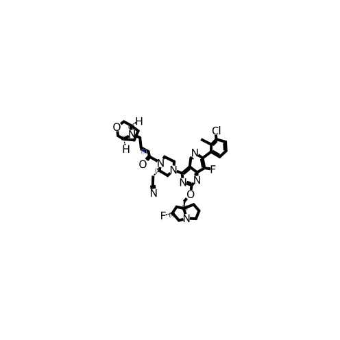 Cc1c(Cl)cccc1-c1ncc2c(N3CCN(C(=O)/C=C/CN4[C@@H]5CC[C@H]4COC5)[C@@H](CC#N)C3)nc(OC[C@@]34CCCN3C[C@H](F)C4)nc2c1F